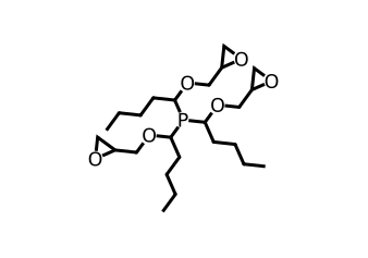 CCCCC(OCC1CO1)P(C(CCCC)OCC1CO1)C(CCCC)OCC1CO1